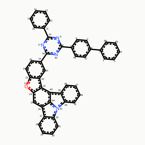 c1ccc(-c2ccc(-c3nc(-c4ccccc4)nc(-c4ccc5oc6cc7c8ccccc8n8c9ccccc9c(c6c5c4)c78)n3)cc2)cc1